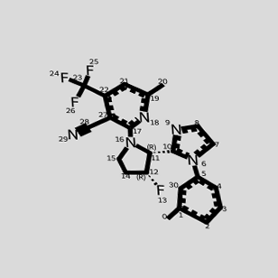 Cc1cccc(-n2ccnc2[C@@H]2[C@H](F)CCN2c2nc(C)cc(C(F)(F)F)c2C#N)c1